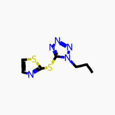 CCCn1nnnc1Sc1nccs1